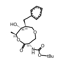 C[C@@H]1OC(=O)[C@@H](NC(=O)OC(C)(C)C)COC[C@H](Cc2ccccc2)[C@H]1O